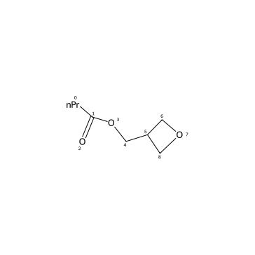 CCCC(=O)OCC1COC1